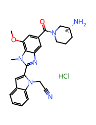 COc1cc(C(=O)N2CCC[C@@H](N)C2)cc2nc(-c3cc4ccccc4n3CC#N)n(C)c12.Cl